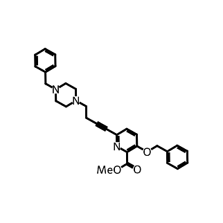 COC(=O)c1nc(C#CCCN2CCN(Cc3ccccc3)CC2)ccc1OCc1ccccc1